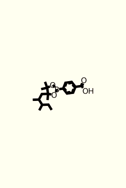 CCC(C)C(C)CC1(C)OB(c2ccc(C(=O)O)cc2)OC1(C)C